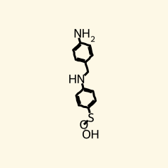 Nc1ccc(CNc2ccc(SOO)cc2)cc1